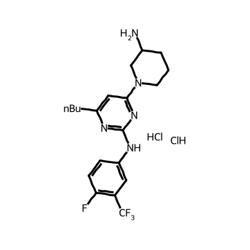 CCCCc1cc(N2CCCC(N)C2)nc(Nc2ccc(F)c(C(F)(F)F)c2)n1.Cl.Cl